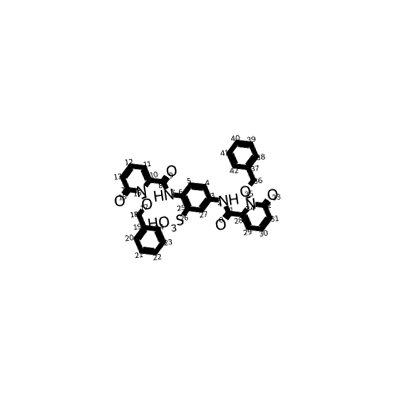 O=C(Nc1ccc(NC(=O)c2cccc(=O)n2OCc2ccccc2)c(S(=O)(=O)O)c1)c1cccc(=O)n1OCc1ccccc1